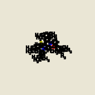 Cc1cc2c3c(c1)N(c1ccc(C(C)(C)C)cc1)c1c(sc4ccc(C(C)(C)C)cc14)B3c1cc3c(cc1N2C1=CCCc2c1oc1ccc(C(C)(C)C)cc21)C(C)(C)CCC3(C)C